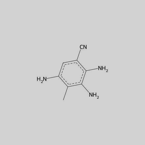 Cc1c(N)cc(C#N)c(N)c1N